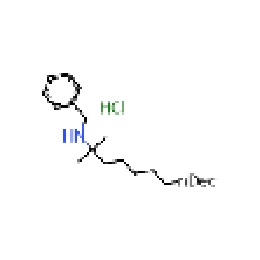 CCCCCCCCCCCCCCCC(C)(C)NCc1ccccc1.Cl